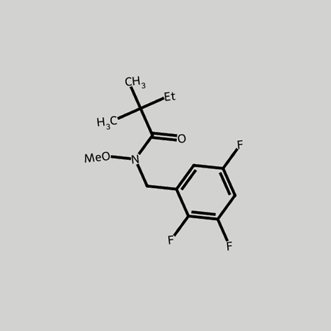 CCC(C)(C)C(=O)N(Cc1cc(F)cc(F)c1F)OC